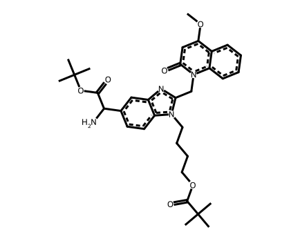 COc1cc(=O)n(Cc2nc3cc(C(N)C(=O)OC(C)(C)C)ccc3n2CCCCOC(=O)C(C)(C)C)c2ccccc12